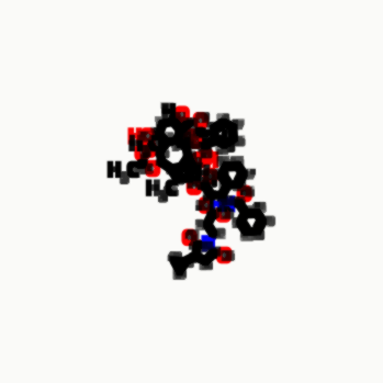 CC(=O)O[C@H]1C(=O)[C@@]2(C)[C@H]([C@H](OC(=O)c3ccccc3)[C@]3(O)C[C@H](OC(=O)C(OC(=O)CCN4C(=O)CC(C5CC5)C4=O)[C@@H](NC(=O)c4ccccc4)c4ccccc4)C(C)=C1C3(C)C)[C@]1(OC(C)=O)CO[C@@H]1C[C@@H]2O